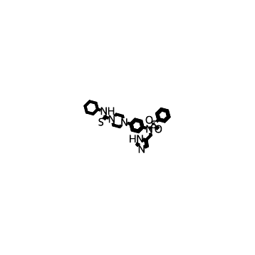 O=S(=O)(c1ccccc1)N(Cc1cnc[nH]1)c1ccc(N2CCN(C(=S)NC3CCCCC3)CC2)cc1